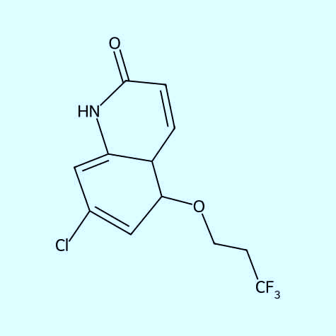 O=C1C=CC2C(=CC(Cl)=CC2OCCC(F)(F)F)N1